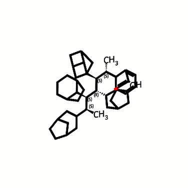 C[C@H](C1C2=CC=CC1=C2O)[C@@H]([C@H](C1CC2CCC1C2)[C@H](C1C2CCCC1CC2)[C@@H](C)C1CC2CCC(C2)C1)C12CC3CC(C1)C32